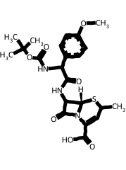 COc1ccc(C(NC(=O)OC(C)(C)C)C(=O)NC2C(=O)N3C(C(=O)O)=CC(C)S[C@@H]23)cc1